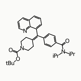 CC(C)N(C(=O)c1ccc(C(=C2CCN(C(=O)OC(C)(C)C)CC2)c2cccc3cccnc23)cc1)C(C)C